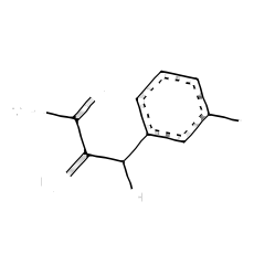 C=C(C(=O)OC)C(O)c1cccc(C(F)(F)F)c1